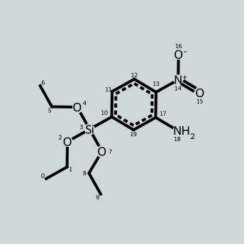 CCO[Si](OCC)(OCC)c1ccc([N+](=O)[O-])c(N)c1